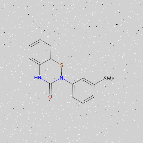 CSc1cccc(N2Sc3ccccc3NC2=O)c1